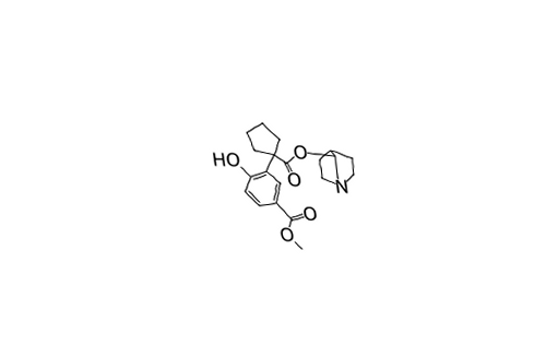 COC(=O)c1ccc(O)c(C2(C(=O)OC3CN4CCC3CC4)CCCC2)c1